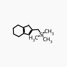 C[Si](C)(C)CC1=CC2=C([CH]1)CCCC2